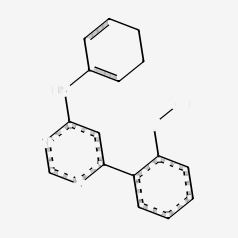 COc1ccccc1-c1cc(NC2=CC[CH]C=C2)ncn1